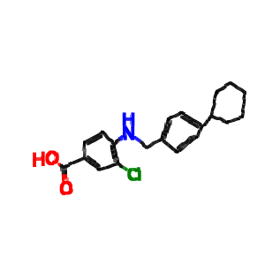 O=C(O)c1ccc(NCc2ccc(C3CCCCC3)cc2)c(Cl)c1